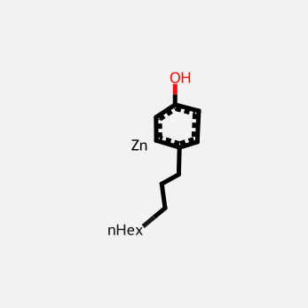 CCCCCCCCCc1ccc(O)cc1.[Zn]